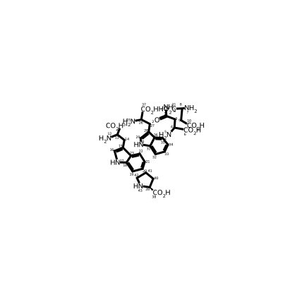 NC(=O)CC(N)C(=O)O.NC(CC(=O)O)C(=O)O.NC(Cc1c[nH]c2ccccc12)C(=O)O.NC(Cc1c[nH]c2ccccc12)C(=O)O.O=C(O)[C@@H]1CCCN1